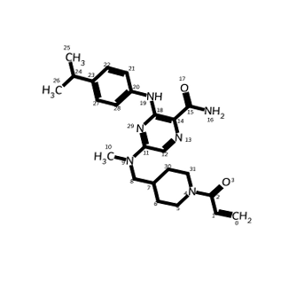 C=CC(=O)N1CCC(CN(C)c2cnc(C(N)=O)c(Nc3ccc(C(C)C)cc3)n2)CC1